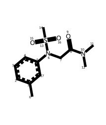 Cc1cccc(N(CC(=O)N(C)C)S(C)(=O)=O)c1